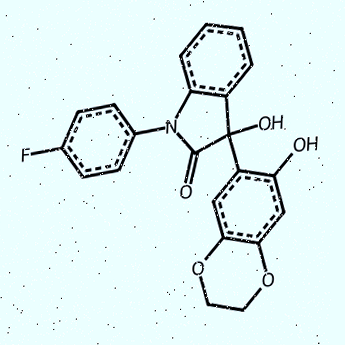 O=C1N(c2ccc(F)cc2)c2ccccc2C1(O)c1cc2c(cc1O)OCCO2